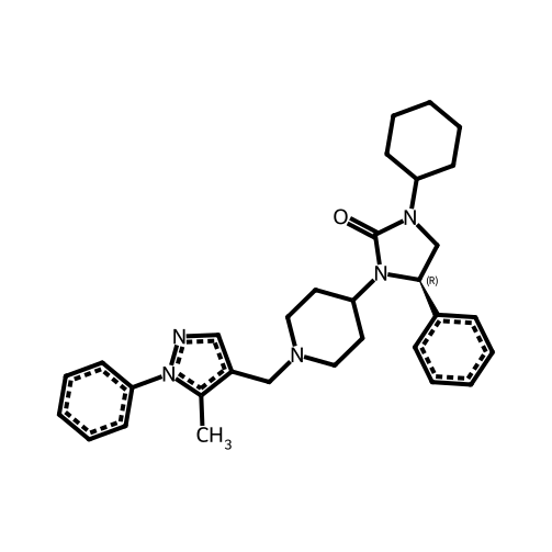 Cc1c(CN2CCC(N3C(=O)N(C4CCCCC4)C[C@H]3c3ccccc3)CC2)cnn1-c1ccccc1